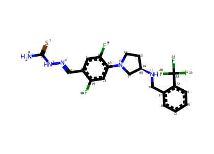 NC(=S)NN=Cc1cc(F)c(N2CC[C@@H](NCc3ccccc3C(F)(F)F)C2)cc1F